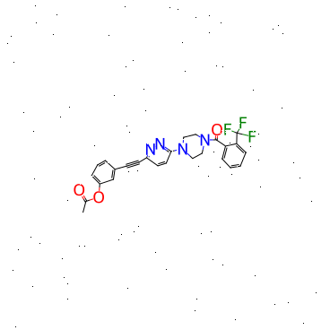 CC(=O)Oc1cccc(C#Cc2ccc(N3CCN(C(=O)c4ccccc4C(F)(F)F)CC3)nn2)c1